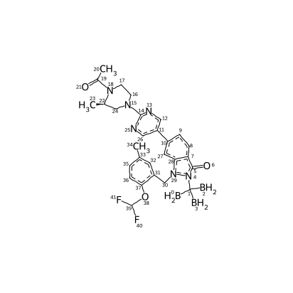 BC(B)(B)n1c(=O)c2ccc(-c3cnc(N4CCN(C(C)=O)[C@H](C)C4)nc3)cc2n1Cc1cc(C)ccc1OC(F)F